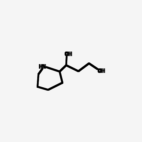 OCCC(O)C1CCCCN1